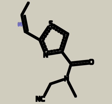 C/C=C\c1nc(C(=O)N(C)CC#N)cs1